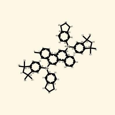 Cc1ccc2c(c1)c(N(c1ccc3c(c1)CCC3)c1ccc3c(c1)C(C)(C)CC3(C)C)cc1c3ccccc3c(N(c3ccc4c(c3)CCC4)c3ccc4c(c3)C(C)(C)CC4(C)C)cc21